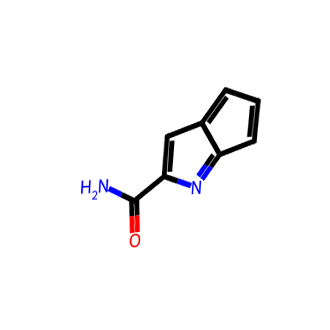 NC(=O)C1=CC2=CC=CC2=N1